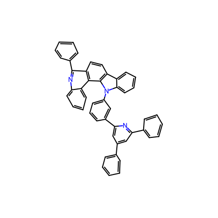 c1ccc(-c2cc(-c3ccccc3)nc(-c3cccc(-n4c5ccccc5c5ccc6c(-c7ccccc7)nc7ccccc7c6c54)c3)c2)cc1